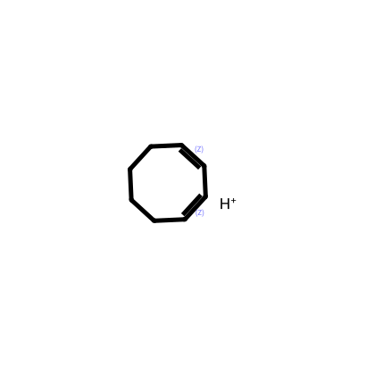 C1=C\CCCC\C=C/1.[H+]